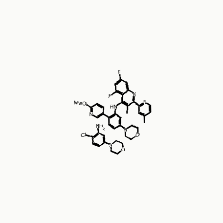 COc1ccc(-c2ccc(N3CCOCC3)cc2Nc2c(C)c(-c3cc(C)ccn3)nc3cc(F)cc(F)c23)cn1.Nc1cc(N2CCOCC2)ccc1Cl